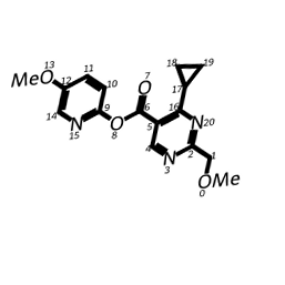 COCc1ncc(C(=O)Oc2ccc(OC)cn2)c(C2CC2)n1